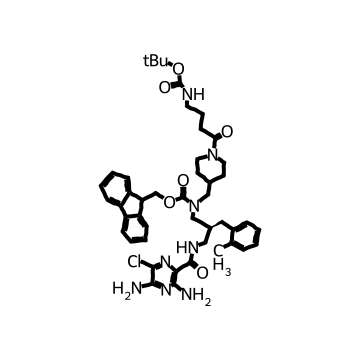 Cc1ccccc1C[C@@H](CNC(=O)c1nc(Cl)c(N)nc1N)CN(CC1CCN(C(=O)CCCNC(=O)OC(C)(C)C)CC1)C(=O)OCC1c2ccccc2-c2ccccc21